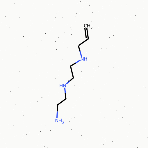 C=CCNCCNCCN